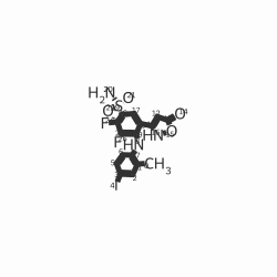 Cc1cc(I)ccc1Nc1c(-c2cc(=O)o[nH]2)cc(S(N)(=O)=O)c(F)c1F